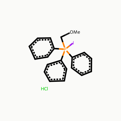 COCP(I)(c1ccccc1)(c1ccccc1)c1ccccc1.Cl